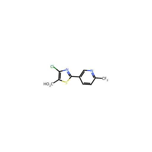 O=C(O)c1sc(-c2ccc(C(F)(F)F)nc2)nc1Cl